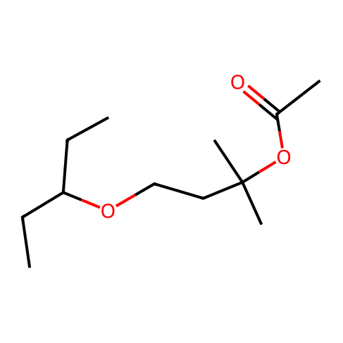 CCC(CC)OCCC(C)(C)OC(C)=O